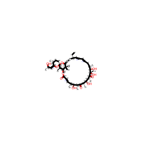 CC[C@@H]1/C=C/C=C/C[C@H](C)[C@@H](O)[C@](C)(O)C(=O)[C@H](C)[C@@H](O)[C@H](C)C(=O)[C@H](C)[C@@H](O)[C@H](C)/C=C/C(=O)O[C@H]2[C@@H](C)[C@@H](CC1)O[C@@]1(CC[C@@H](C)/C(=C\[C@H](C)O)O1)[C@@H]2C